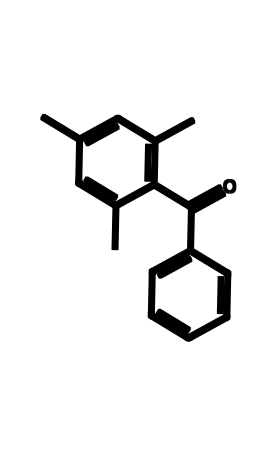 Cc1cc(C)c(C(=O)c2ccccc2)c(C)c1